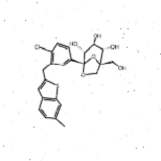 Cc1ccc2cc(Cc3cc([C@]45OC[C@](CO)(O4)[C@@H](O)[C@H](O)[C@H]5O)ccc3Cl)sc2c1